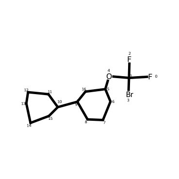 FC(F)(Br)OC1CCC[C](C2CCCCC2)C1